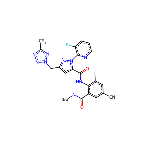 Cc1cc(C#N)cc(C(=O)NC(C)(C)C)c1NC(=O)c1cc(Cn2nnc(C(F)(F)F)n2)nn1-c1ncccc1F